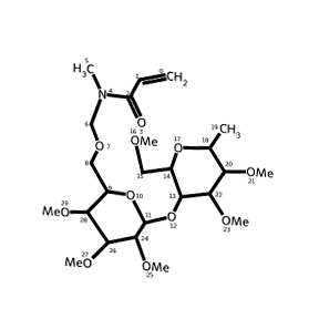 C=CC(=O)N(C)COCC1OC(OC2C(COC)OC(C)C(OC)C2OC)C(OC)C(OC)C1OC